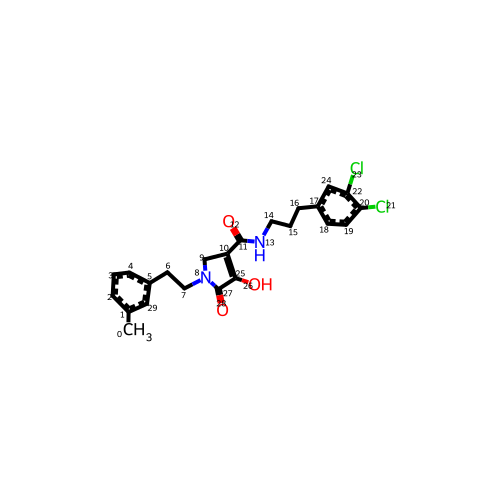 Cc1cccc(CCN2CC(C(=O)NCCCc3ccc(Cl)c(Cl)c3)=C(O)C2=O)c1